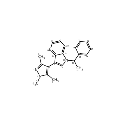 Cc1nn(C)c(C)c1-c1cn(C(C)c2ccccc2)c2cccnc12